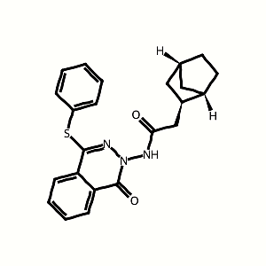 O=C(C[C@H]1C[C@@H]2CC[C@H]1C2)Nn1nc(Sc2ccccc2)c2ccccc2c1=O